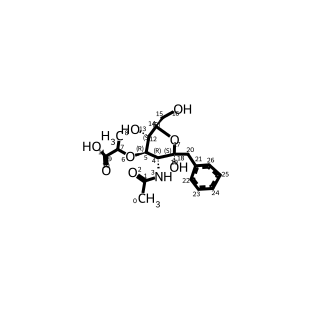 CC(=O)N[C@@H]1[C@@H](OC(C)C(=O)O)[C@H](O)[C@@H](CO)O[C@@]1(O)Cc1ccccc1